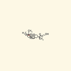 C[C@H]1[C@H]2CC[C@H]3[C@@H]4CC=C5C[C@@H](N(C)C(=O)OCCO)CC[C@]5(C)[C@H]4CCC23CN1C